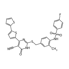 Cc1cc(CSc2nc(-c3ccc(-c4cccs4)s3)c(C#N)c(=O)[nH]2)ccc1NS(=O)(=O)c1ccc(F)cc1